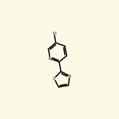 CCc1ccc(-c2nccs2)nc1